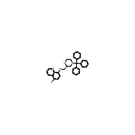 Fc1ccc(OC[C@@H]2CN(C(c3ccccc3)(c3ccccc3)c3ccccc3)CCO2)c2ncccc12